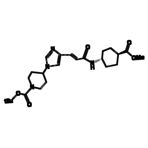 COC(=O)[C@H]1CC[C@H](NC(=O)C=Cc2cn(C3CCN(C(=O)OC(C)(C)C)CC3)cn2)CC1